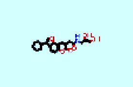 O=C(Cc1cc2c(oc1=O)C=CC1C(C3CCCCC3)=COC21)NCC(O)CO